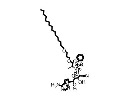 CCCCCCCCCCCCCCCCOCCCOC(=O)[C@H](C)NP(=O)(OC[C@H](C#N)[C@@H](O)[C@@H](O)[C@@H](O)c1ccc2c(N)ncnn12)Oc1ccccc1